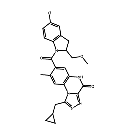 COCC1Cc2cc(Cl)ccc2N1C(=O)c1cc2[nH]c(=O)c3nnc(CC4CC4)n3c2cc1C